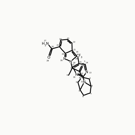 CC(C(=O)N1CC2CCC(C1)N2c1ncc(C(F)(F)F)cn1)n1cc2cccc(C(N)=O)c2n1